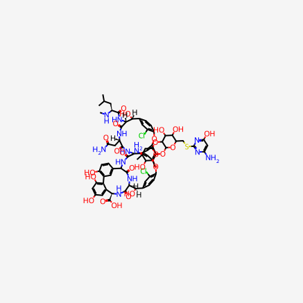 CN[C@@H](CC(C)C)C(=O)N[C@H]1C(=O)N[C@@H](CC(N)=O)C(=O)NC2C(=O)NC3C(=O)N[C@H](C(=O)N[C@@H](C(=O)O)c4cc(O)cc(O)c4-c4cc3ccc4O)[C@H](O)c3ccc(c(Cl)c3)Oc3cc2cc(c3OC2OC(CSc3nc(N)cc(O)n3)C(O)C(O)C2OC2CC(C)(N)C(O)C(C)O2)Oc2ccc(cc2Cl)[C@H]1O